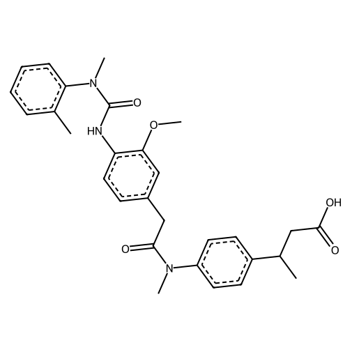 COc1cc(CC(=O)N(C)c2ccc(C(C)CC(=O)O)cc2)ccc1NC(=O)N(C)c1ccccc1C